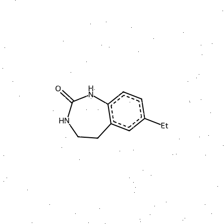 CCc1ccc2c(c1)CCNC(=O)N2